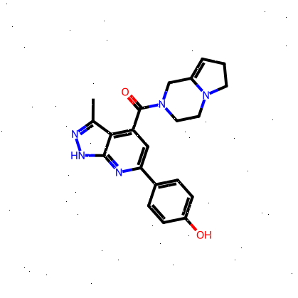 Cc1n[nH]c2nc(-c3ccc(O)cc3)cc(C(=O)N3CCN4CCC=C4C3)c12